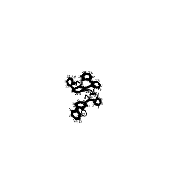 c1ccc2c(-c3ccc4c(c3)oc3ccccc34)nc(-n3c4cccc5c6ccccc6n6c7ccccc7c7ccc3c(c54)c76)nc2c1